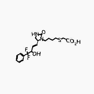 O=C(O)CSCCCCN1C(=O)NC[C@@H]1/C=C/C(O)C(F)(F)c1ccccc1